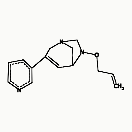 C=CCON1CN2CC(c3cccnc3)=CC1C2